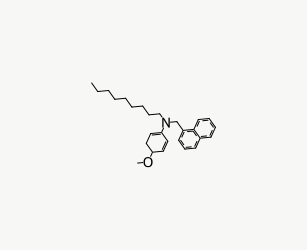 CCCCCCCCCN(Cc1cccc2ccccc12)C1=CCC(OC)C=C1